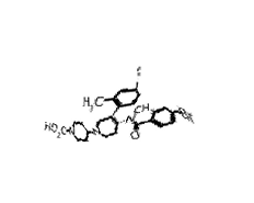 Cc1cc(F)ccc1[C@@H]1CN(C2CCN(C(=O)O)CC2)CC[C@H]1N(C)C(=O)c1ccc(Br)cc1